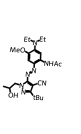 CCN(CC)c1cc(NC(C)=O)c(N=Nc2c(C#N)c(C(C)(C)C)nn2CC(C)O)cc1OC